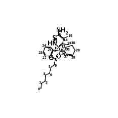 CCCCCCCC(=O)OC(C1=C(C)C(C)=C(N)SN1)(c1ccccc1)C1C=CCCC1